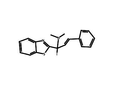 CN(C)C(I)(C=Cc1ccccc1)c1nc2ccccc2s1